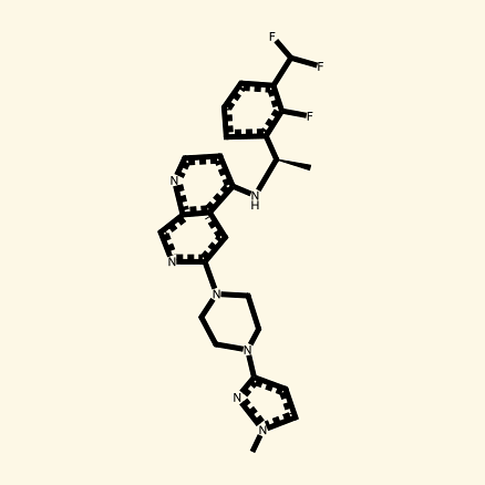 C[C@@H](Nc1ccnc2cnc(N3CCN(c4ccn(C)n4)CC3)cc12)c1cccc(C(F)F)c1F